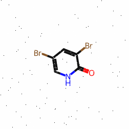 O=c1[nH]cc(Br)cc1Br